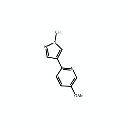 COc1ccc(-c2[c]nn(C)c2)nc1